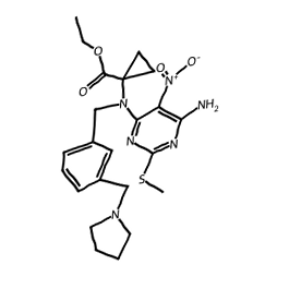 CCOC(=O)C1(N(Cc2cccc(CN3CCCC3)c2)c2nc(SC)nc(N)c2[N+](=O)[O-])CC1